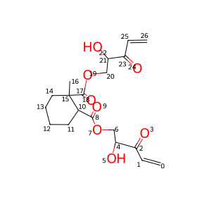 C=CC(=O)C(O)COC(=O)C1CCCCC1(C)C(=O)OCC(O)C(=O)C=C